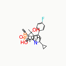 C#CC(C(=O)O)([PH](=O)O)C(C)(O)c1c(-c2ccc(F)cc2)cc(C2CC2)nc1C(C)C